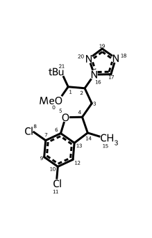 COC(C(CC1Oc2c(Cl)cc(Cl)cc2C1C)n1cncn1)C(C)(C)C